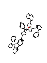 c1ccc(-c2ccccc2-c2ccc(N(c3ccc(-c4ccc5c(c4)C(c4ccccc4)(c4ccccc4)c4ccccc4-5)cc3)c3ccccc3-c3cccc(-c4cccc5ccccc45)c3)cc2)cc1